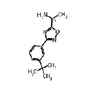 C[C@H](N)c1nc(-c2cccc(C(C)(C)C)c2)no1